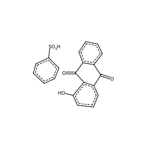 O=C1c2ccccc2C(=O)c2c(O)cccc21.O=S(=O)(O)c1ccccc1